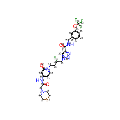 O=C(CN1CCSCC1)Nc1ccn(CCC(F)Cn2cc(C(=O)NCc3cccc(OC(F)(F)F)c3)nn2)c(=O)c1